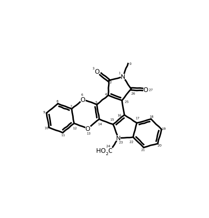 Cn1c(=O)c2c3oc4ccccc4oc3c3c(c4ccccc4n3C(=O)O)c2c1=O